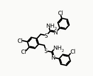 N/C(=N\c1cccc(Cl)c1)SCc1cc(Cl)c(Cl)cc1CS/C(N)=N/c1cccc(Cl)c1